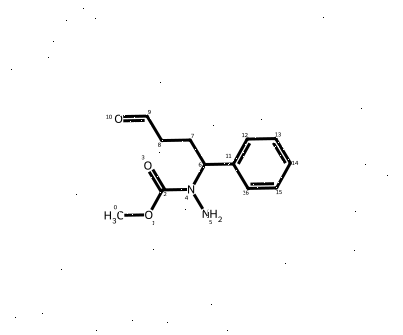 COC(=O)N(N)C(CCC=O)c1ccccc1